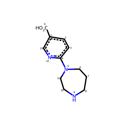 O=C(O)c1ccc(N2CCCNCC2)nc1